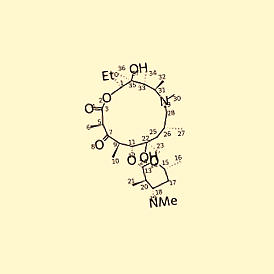 CC[C@H]1OC(=O)[C@H](C)C(=O)[C@H](C)[C@@H](O[C@@H]2O[C@H](C)C[C@H](NC)[C@H]2C)[C@](C)(O)C[C@@H](C)CN(C)[C@H](C)[C@@H](C)[C@]1(C)O